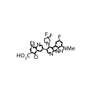 CCn1cc(C(=O)O)c(=O)c2cc(-c3cnc4[nH]c5c(NC)cc(F)cc5c4c3N3CCC(F)(F)C3)cnc21